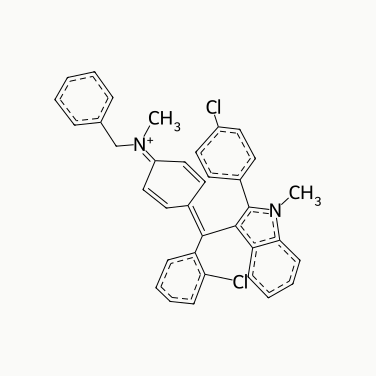 Cn1c(-c2ccc(Cl)cc2)c(C(=C2C=CC(=[N+](C)Cc3ccccc3)C=C2)c2ccccc2Cl)c2ccccc21